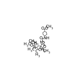 COC(=O)[C@H]1CC[C@H](NC(=O)c2csc(C(CC(C(C)C)N(C)C(=O)OC(C)(C)C)OC(C)=O)n2)CC1